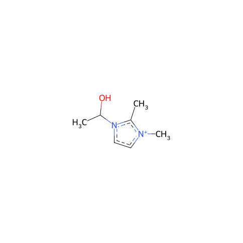 Cc1n(C(C)O)cc[n+]1C